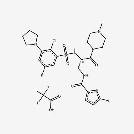 CN1CCN(C(=O)[C@H](CNC(=O)c2ccc(Cl)s2)NS(=O)(=O)c2cc(F)cc(N3CCCC3)c2Cl)CC1.O=C(O)C(F)(F)F